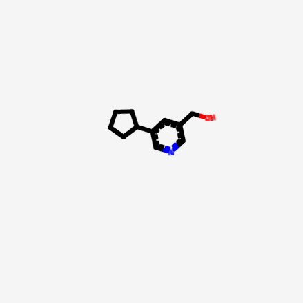 OCc1cncc(C2CCCC2)c1